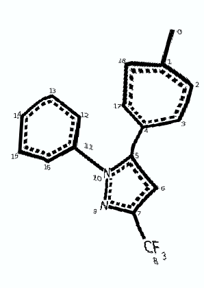 Cc1ccc(-c2cc(C(F)(F)F)nn2-c2cc[c]cc2)cc1